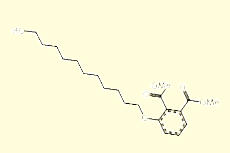 COC(=O)c1cccc(OCCCCCCCCCCCO)c1C(=O)OC